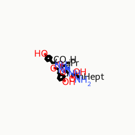 CCCCCCC[C@@H](N)[C@H](O)C(=O)N[C@@H](C)C(=O)N(C)[C@@H](CC(C)C)C(=O)N[C@@H](Cc1ccc(O)cc1)C(=O)N[C@@H](Cc1ccc(O)cc1)C(=O)O